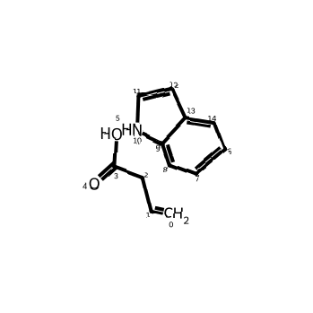 C=CCC(=O)O.c1ccc2[nH]ccc2c1